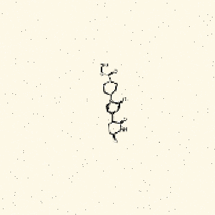 CC(C)(C)OC(=O)N1CCC(n2ccc(C3CCC(=O)NC3=O)cc2=O)CC1